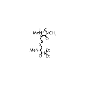 CCN(CC)C(=O)[C@H](CSSC[C@H](NC)C(=O)N(C)C)NC